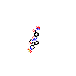 CS(=O)(=O)N1CCC(c2cccc(N(Cc3ccc(C(=O)NO)cc3)C(=O)N3CCOCC3)c2)CC1